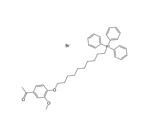 COc1cc(C(C)=O)ccc1OCCCCCCCCCC[P+](c1ccccc1)(c1ccccc1)c1ccccc1.[Br-]